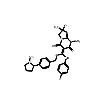 CN1CCCC1c1ccc(CN/C(Nc2ccc(F)cc2)=c2/c(=O)n(C)c3n(c2=N)CC(C)(C)N=3)cc1